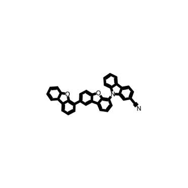 N#Cc1ccc2c3ccccc3n(-c3cccc4c3oc3ccc(-c5cccc6c5OC5C=CC=CC65)cc34)c2c1